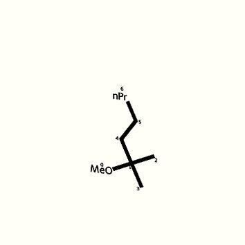 [CH2]OC(C)(C)CCCCC